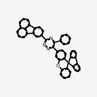 c1ccc(-c2nc(-c3ccc4c(c3)-c3cccc5cccc-4c35)nnc2-c2ccc3c(c2)Oc2ccccc2C32c3ccccc3-c3ccccc32)cc1